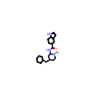 CC(=O)N1CCC(Cc2ccccc2)CC1NC(=O)c1ccc2[nH]ccc2c1